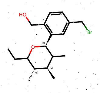 CCC1O[C@@H](c2cc(CBr)ccc2CO)C(C)[C@@H](C)[C@@H]1C